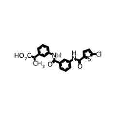 CC(C(=O)O)c1cccc(NC(=O)c2cccc(NC(=O)c3ccc(Cl)s3)c2)c1